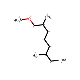 CCCCCCCCCC(C)CCCC(C)COS(=O)(=O)O